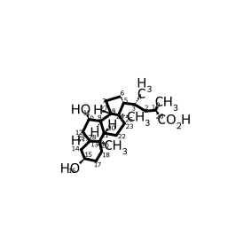 C[C@H](C[C@@H](C)[C@H]1CC[C@H]2[C@@H]3[C@H](O)C[C@@H]4C[C@H](O)CC[C@]4(C)[C@H]3CC[C@]12C)C(=O)O